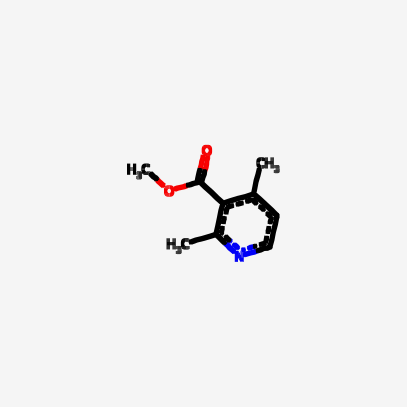 COC(=O)c1c(C)ccnc1C